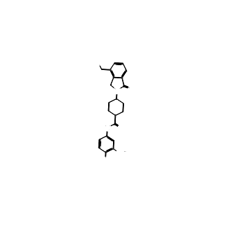 CCc1cccc2c1CN(C1CCC(C(=O)Nc3ccc(C)c(OC)c3)CC1)C2=O